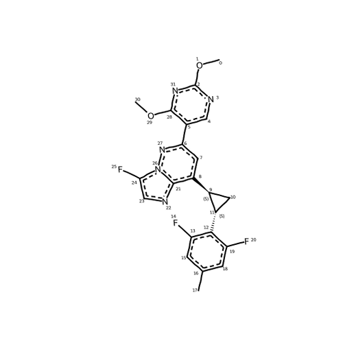 COc1ncc(-c2cc([C@H]3C[C@@H]3c3c(F)cc(C)cc3F)c3ncc(F)n3n2)c(OC)n1